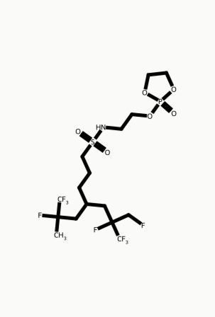 CC(F)(CC(CCCS(=O)(=O)NCCOP1(=O)OCCO1)CC(F)(CF)C(F)(F)F)C(F)(F)F